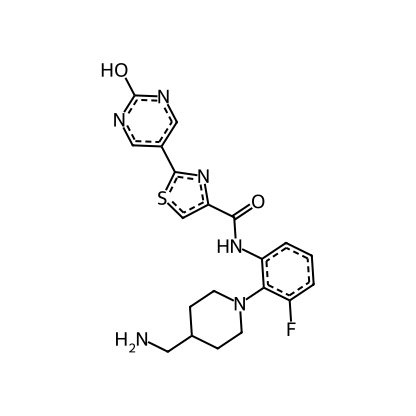 NCC1CCN(c2c(F)cccc2NC(=O)c2csc(-c3cnc(O)nc3)n2)CC1